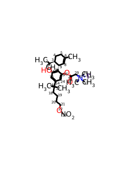 C=C(C)[C@H]1CCC(C)=C[C@@H]1c1c(O)cc(C(C)(C)CCCCO[N+](=O)[O-])cc1OC(=O)C[N+](C)(C)C.[I-]